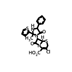 CC1(c2cccs2)NC(c2ccccc2)C(=O)N1[C@@H]1C(=O)N2C(C(=O)O)=C(Cl)CS[C@H]12